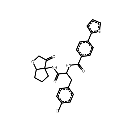 O=C(NC(Cc1ccc(Cl)cc1)C(=O)NC12CCCC1OCC2=O)c1ccc(-c2cccs2)cc1